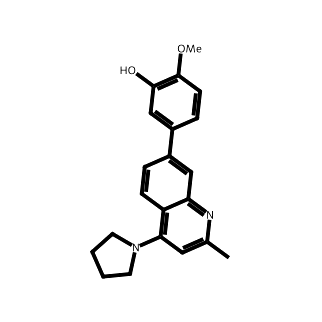 COc1ccc(-c2ccc3c(N4CCCC4)cc(C)nc3c2)cc1O